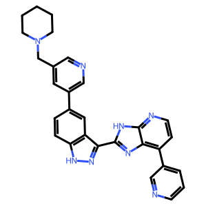 c1cncc(-c2ccnc3[nH]c(-c4n[nH]c5ccc(-c6cncc(CN7CCCCC7)c6)cc45)nc23)c1